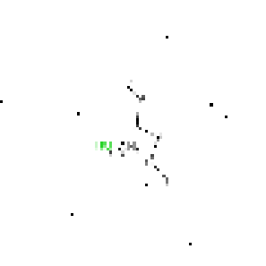 CCCCCC.Cl.[AlH3]